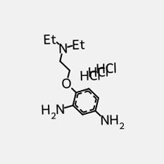 CCN(CC)CCOc1ccc(N)cc1N.Cl.Cl.Cl